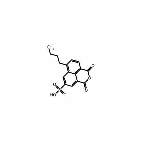 CCCCc1ccc2c3c(cc(S(=O)(=O)O)cc13)C(=O)OC2=O